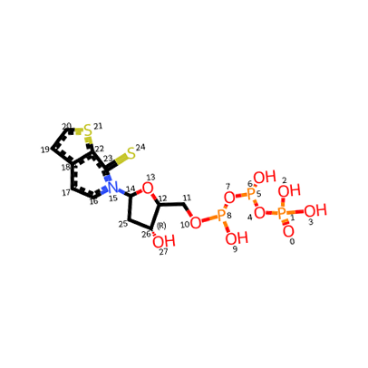 O=P(O)(O)OP(O)OP(O)OCC1OC(n2ccc3ccsc3c2=S)C[C@H]1O